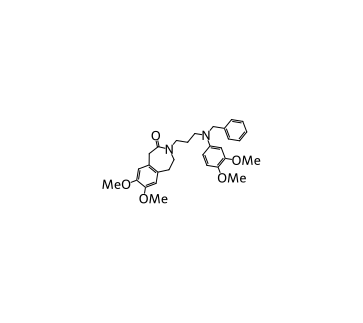 COc1ccc(N(CCCN2CCc3cc(OC)c(OC)cc3CC2=O)Cc2ccccc2)cc1OC